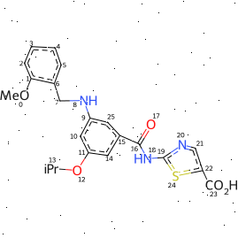 COc1ccccc1CNc1cc(OC(C)C)cc(C(=O)Nc2ncc(C(=O)O)s2)c1